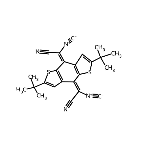 [C-]#[N+]/C(C#N)=c1/c2cc(C(C)(C)C)sc2/c(=C(\C#N)[N+]#[C-])c2cc(C(C)(C)C)sc12